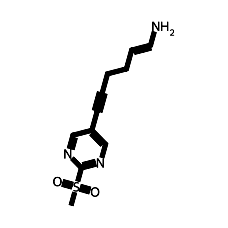 CS(=O)(=O)c1ncc(C#CCCC=CN)cn1